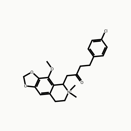 COc1c2c(cc3c1C(CC(=O)CCc1ccc(Cl)cc1)[N+](C)(C)CC3)OCO2